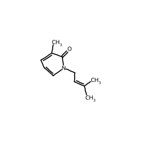 CC(C)=CCn1cccc(C)c1=O